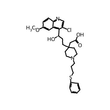 COc1ccc2ncc(Cl)c([C@H](O)CCC3(CC(=O)O)CCN(CCCSc4ccccc4)CC3)c2c1